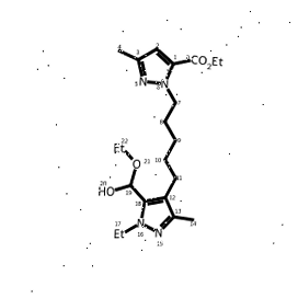 CCOC(=O)c1cc(C)nn1CCCCCc1c(C)nn(CC)c1C(O)OCC